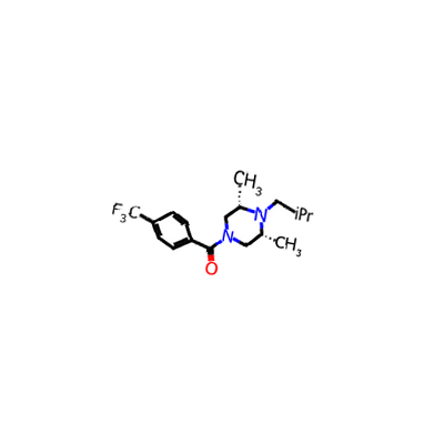 CC(C)CN1[C@H](C)CN(C(=O)c2ccc(C(F)(F)F)cc2)C[C@@H]1C